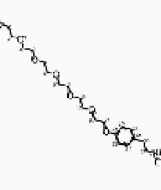 COCCOCCOCCOCCOCCOCCOc1ccc(CCNC(=O)O)cc1